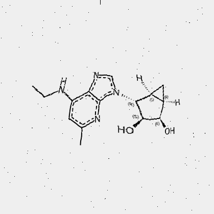 CCNc1cc(C)nc2c1ncn2[C@H]1[C@H](O)[C@H](O)[C@@H]2C[C@@H]21